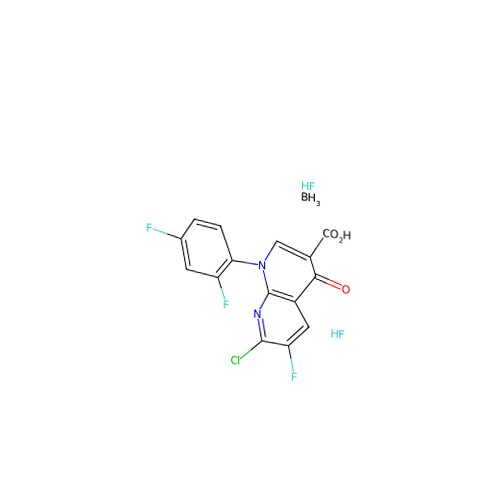 B.F.F.O=C(O)c1cn(-c2ccc(F)cc2F)c2nc(Cl)c(F)cc2c1=O